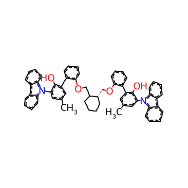 Cc1cc(-c2ccccc2OCC2CCCC[C@H]2COc2ccccc2-c2cc(C)cc(-n3c4ccccc4c4ccccc43)c2O)c(O)c(-n2c3ccccc3c3ccccc32)c1